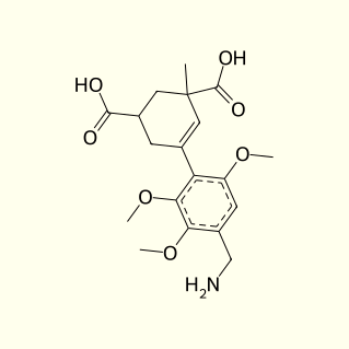 COc1cc(CN)c(OC)c(OC)c1C1=CC(C)(C(=O)O)CC(C(=O)O)C1